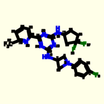 Fc1ccc(N2CC(Nc3nc(NC4CCC(F)(F)C4)nc(-c4cccc(C(F)(F)F)n4)n3)C2)cc1